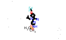 CC(C)S(=O)(=O)Nc1ccc(-c2c(C#N)c3ccc(OCC(F)(F)F)cc3n2CC2CC2)nc1